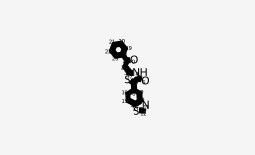 O=C(C=c1[nH]c(=O)c(=C2C=c3ncsc3=CC2)s1)c1ccccc1